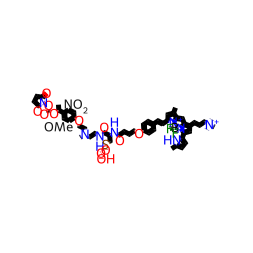 COc1cc(C(C)OC(=O)ON2C(=O)CCC2=O)c([N+](=O)[O-])cc1OCCN(C)CCNC(=O)C(CSOOO)NC(=O)CCCOc1ccc(/C=C/C2=[N+]3C(=Cc4c(CCC[N+](C)(C)C)cc(-c5ccc(C)[nH]5)n4[B-]3(F)F)C(C)=C2)cc1